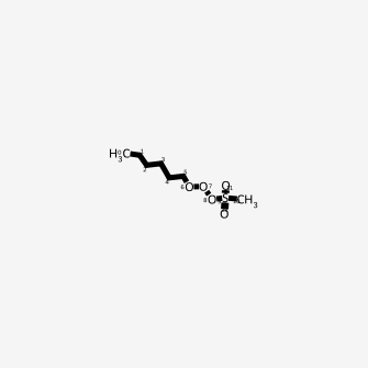 CCCCCCOOOS(C)(=O)=O